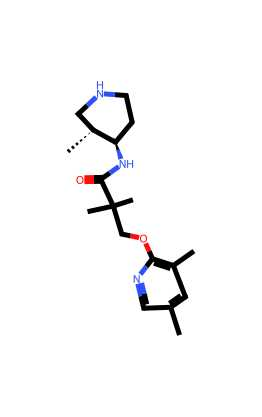 Cc1cnc(OCC(C)(C)C(=O)N[C@@H]2CCNC[C@H]2C)c(C)c1